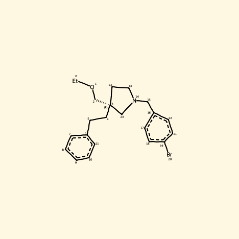 CCOC[C@]1(CCc2ccccc2)CCN(Cc2ccc(Br)cc2)C1